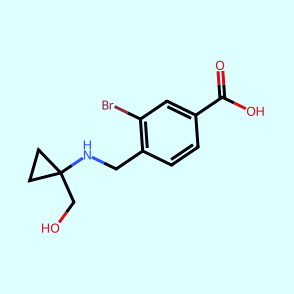 O=C(O)c1ccc(CNC2(CO)CC2)c(Br)c1